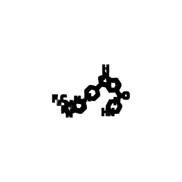 O=C(c1ccc2[nH]cc(C3CCN(c4ccc5nnc(C(F)(F)F)n5n4)CC3)c2c1)N1CCNCC1